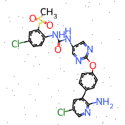 CS(=O)(=O)c1cc(Cl)ccc1NC(=O)Nc1cnc(Oc2ccc(-c3cc(Cl)cnc3N)cc2)nc1